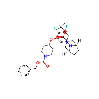 CC(C)(C)OC(=O)N1C[C@H]2CC[C@@H](C1)N2c1cc(F)c(F)c(OC2CCN(C(=O)OCc3ccccc3)CC2)c1